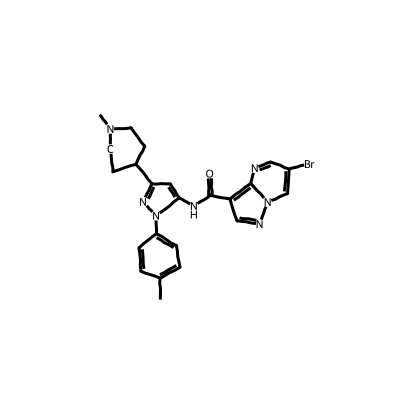 Cc1ccc(-n2nc(C3CCN(C)CC3)cc2NC(=O)c2cnn3cc(Br)cnc23)cc1